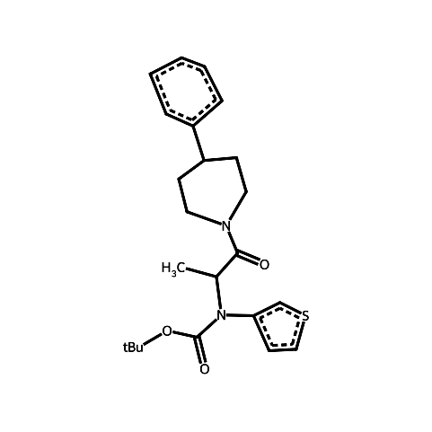 CC(C(=O)N1CCC(c2ccccc2)CC1)N(C(=O)OC(C)(C)C)c1ccsc1